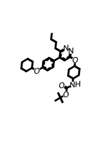 CCCCc1nnc(OC2CCC(NC(=O)OC(C)(C)C)CC2)cc1-c1ccc(OC2CCCCC2)cc1